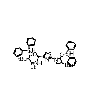 CC[C@H](NC(=O)c1csc(N2CC(C(C)(C)C)C2O[SiH](c2ccccc2)c2ccccc2)n1)C(O[SiH](c1ccccc1)c1ccccc1)C(C)(C)C